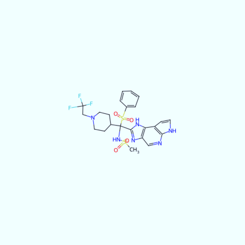 CS(=O)(=O)NC(c1nc2cnc3[nH]ccc3c2[nH]1)(C1CCN(CC(F)(F)F)CC1)S(=O)(=O)c1ccccc1